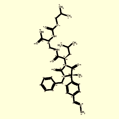 CC(C)COC(=O)N[C@@H](CNC(=O)[C@@H](CC(C)C)N1C(=O)N(Cc2ccccc2)[C@@](C)(c2ccc(C=NN)cc2)C1=O)C(=O)O